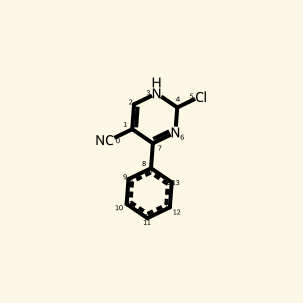 N#CC1=CNC(Cl)N=C1c1ccccc1